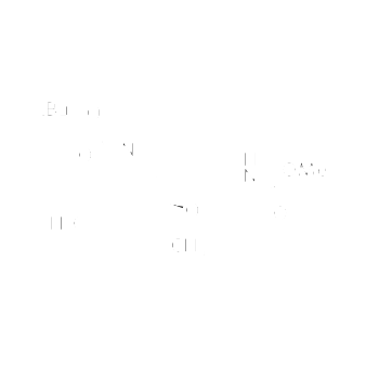 COC(=O)NCCO[C@@H](c1cc(C)ccc1C)C1CCCN(C(=O)OC(C)(C)C)C1